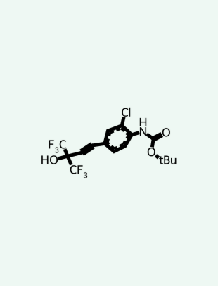 CC(C)(C)OC(=O)Nc1ccc(C#CC(O)(C(F)(F)F)C(F)(F)F)cc1Cl